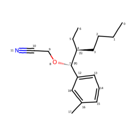 CCCC[C@H](CC)[C@@H](OCC#N)c1cccc(C)c1